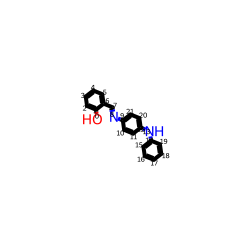 Oc1ccccc1C=Nc1ccc(Nc2ccccc2)cc1